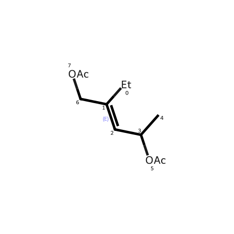 CC/C(=C\C(C)OC(C)=O)COC(C)=O